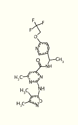 Cc1cc(C(=O)NC(C)c2ccc(OCC(F)(F)F)nc2)nc(Nc2onc(C)c2C)n1